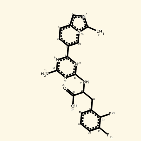 Cc1ncc2ccc(-c3nc(N)nc(NC(Cc4cccc(F)c4F)C(=O)O)n3)cn12